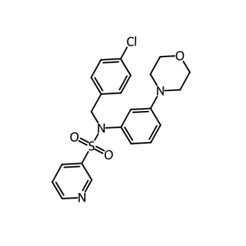 O=S(=O)(c1cccnc1)N(Cc1ccc(Cl)cc1)c1cccc(N2CCOCC2)c1